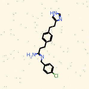 NC(CCc1ccc(CCc2c[nH]cn2)cc1)=NCc1ccc(Cl)cc1